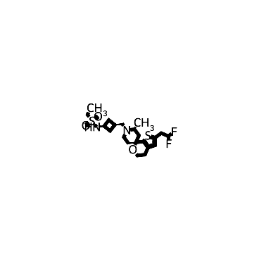 CCS(=O)(=O)N[C@H]1C[C@@H](CN2CC[C@]3(C[C@@H]2C)OCCc2cc(CC(F)F)sc23)C1